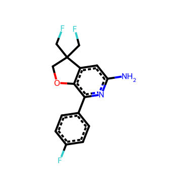 Nc1cc2c(c(-c3ccc(F)cc3)n1)OCC2(CF)CF